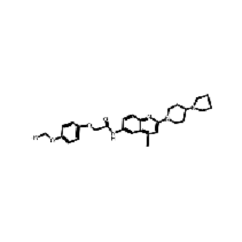 Cc1cc(N2CCC(N3CCCC3)CC2)nc2ccc(NC(=O)COc3ccc(OCS)cc3)cc12